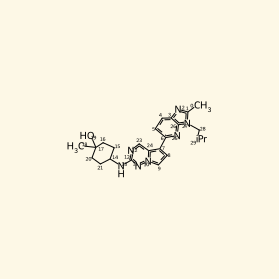 Cc1nc2ccc(-c3ccn4nc(NC5CCC(C)(O)CC5)ncc34)nc2n1CC(C)C